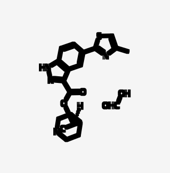 Cc1csc(-c2ccc3[nH]nc(C(=O)O[C@@H]4CN5CCC4CC5)c3c2)n1.O=CO